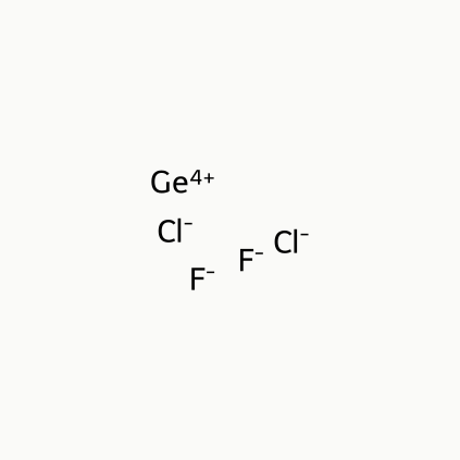 [Cl-].[Cl-].[F-].[F-].[Ge+4]